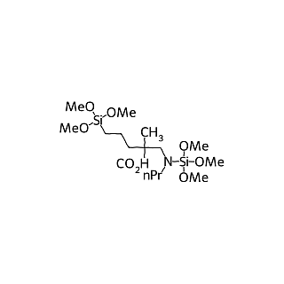 CCCN(CC(C)(CCC[Si](OC)(OC)OC)C(=O)O)[Si](OC)(OC)OC